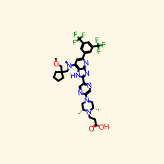 COCC1(CN(C)c2cc(-c3cc(C(F)(F)F)cc(C(F)(F)F)c3)nc3nc(-c4cnc(N5C[C@@H](C)N(CCC(=O)O)[C@@H](C)C5)cn4)[nH]c23)CCCC1